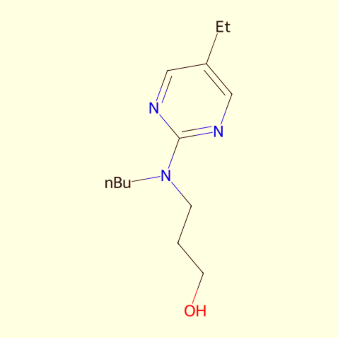 CCCCN(CCCO)c1ncc(CC)cn1